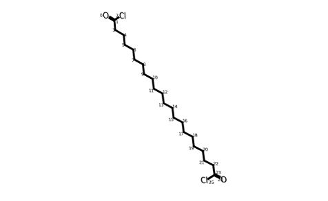 O=C(Cl)CCCCCCCCCCCCCCCCCCCCC(=O)Cl